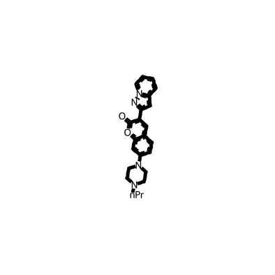 CCCN1CCN(c2ccc3cc(-c4cc5ccccn5n4)c(=O)oc3c2)CC1